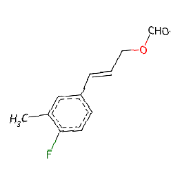 Cc1cc(/C=C/CO[C]=O)ccc1F